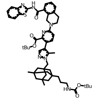 Cc1c(-c2ccc(N3CCc4cccc(C(=O)Nc5nc6ccccc6s5)c4C3)nc2C(=O)OC(C)(C)C)cnn1CC12CC3(C)CC(C)(CC(CCCNC(=O)OC(C)(C)C)(C3)C1)C2